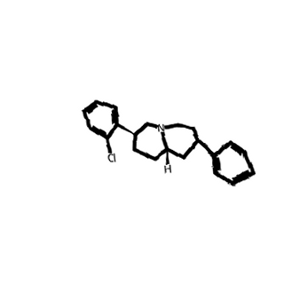 Clc1ccccc1[C@@H]1CC[C@H]2CC(c3ccccc3)CCN2C1